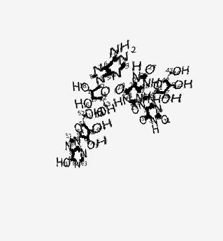 Nc1ncnc2c1ncn2[C@@H]1O[C@H](CO)[C@@H](O)[C@H]1O.O=c1[nH]c(=O)c2[nH]c(=O)[nH]c2[nH]1.O=c1[nH]c(=O)c2ncn([C@@H]3O[C@H](CO)[C@@H](O)[C@H]3O)c2[nH]1.OC[C@H]1O[C@@H](n2cnc3c(O)ncnc32)[C@H](O)[C@@H]1O